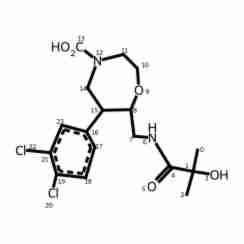 CC(C)(O)C(=O)NCC1OCCN(C(=O)O)CC1c1ccc(Cl)c(Cl)c1